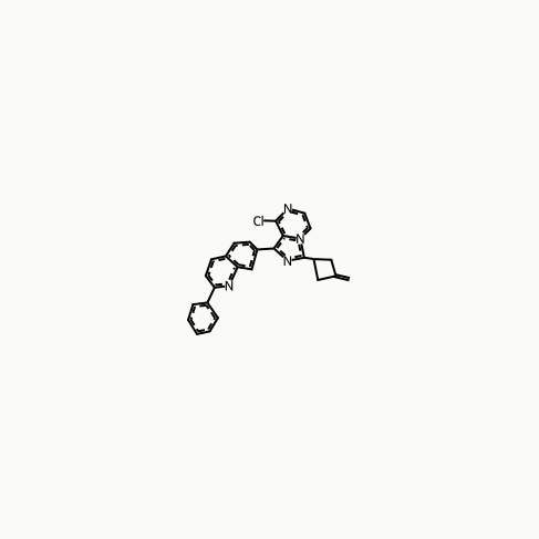 C=C1CC(c2nc(-c3ccc4ccc(-c5ccccc5)nc4c3)c3c(Cl)nccn23)C1